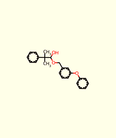 CC(C)(c1ccccc1)C(O)OCc1cccc(Oc2ccccc2)c1